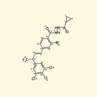 O=C(NNC(=O)C1CC1)c1ccc(/C=C/C(c2cc(Cl)c(Cl)c(Cl)c2)C(F)(F)F)cc1Br